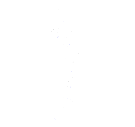 NCCCC[C@H](N)C(=O)NCC(=O)NCC(=O)N[C@@H](CO)C(=O)NCC(=O)N[C@@H](CO)C(=O)NCC(=O)O